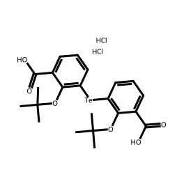 CC(C)(C)Oc1c([Te]c2cccc(C(=O)O)c2OC(C)(C)C)cccc1C(=O)O.Cl.Cl